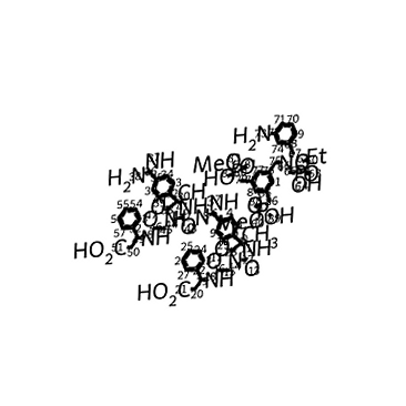 CC1(c2ccc(C(=N)N)cc2)NC(=O)N(CC(=O)NC(CC(=O)O)c2ccccc2)C1=O.CC1(c2ccc(C(=N)N)cc2)NC(=O)N(CC(=O)NC(CC(=O)O)c2ccccc2)C1=O.CCOP(=O)(O)CN(Cc1cccc(N)c1)Cc1cc(CP(=O)(O)OC)cc(CP(=O)(O)OC)c1